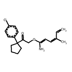 C=C/C(C)=C\C=C(/N)OCC(=O)C1(c2ccc(Cl)cc2)CCCC1